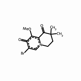 COc1c2n(cc(Br)c1=O)CCC(C)(C)C2=O